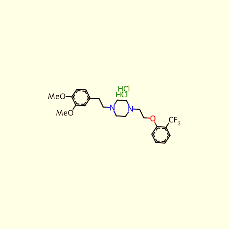 COc1ccc(CCN2CCN(CCOc3ccccc3C(F)(F)F)CC2)cc1OC.Cl.Cl